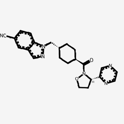 N#Cc1ccc2c(cnn2C[C@H]2CC[C@H](C(=O)N3OCC[C@H]3c3cnccn3)CC2)c1